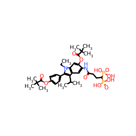 CCn1c(-c2ccc(OC(=O)C(C)(C)C)cc2)c(C(C)C)c2cc(NC(=O)CCC(P(=O)(O)O)P(=O)(O)O)c(OC(=O)C(C)(C)C)cc21